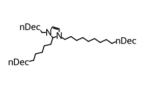 CCCCCCCCCCCCCCCCCCCN1C=CN(CCCCCCCCCCC)C1CCCCCCCCCCCCCCC